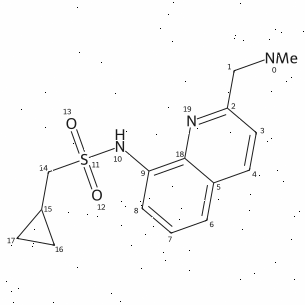 CNCc1ccc2cccc(NS(=O)(=O)CC3CC3)c2n1